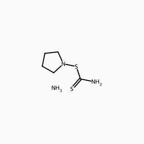 N.NC(=S)SN1CCCC1